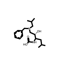 CC(C)CC(NC(=O)O)[C@@H](O)CN(Cc1ccccc1)CC(C)C